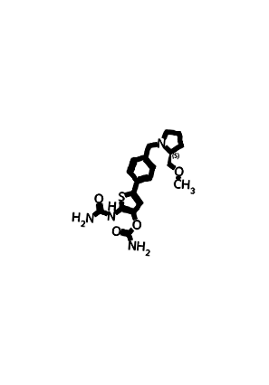 COC[C@@H]1CCCN1Cc1ccc(-c2cc(OC(N)=O)c(NC(N)=O)s2)cc1